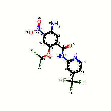 Nc1cc(C(=O)Nc2cc(C(F)(F)F)ccn2)c(OC(F)F)cc1[N+](=O)[O-]